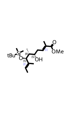 C/C=C(\C)[C@@H](O[Si](C)(C)C(C)(C)C)[C@H](C)[C@@H](O)C/C=C(\C)C(=O)OC